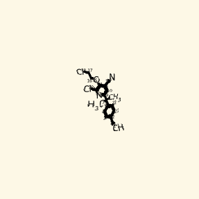 C#Cc1ccc(C(C)(C)c2cc(C#N)c(OCCCl)c(Cl)n2)cc1